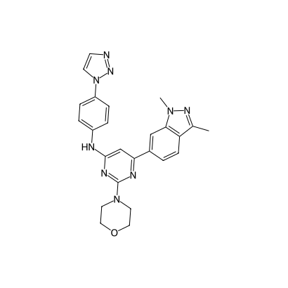 Cc1nn(C)c2cc(-c3cc(Nc4ccc(-n5ccnn5)cc4)nc(N4CCOCC4)n3)ccc12